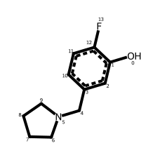 Oc1cc(CN2CCCC2)ccc1F